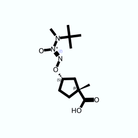 CN(/[N+]([O-])=N/O[C@H]1CC[C@@](C)(C(=O)O)C1)C(C)(C)C